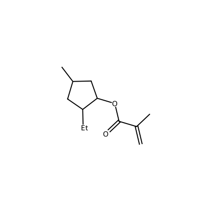 C=C(C)C(=O)OC1CC(C)CC1CC